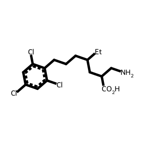 CCC(CCCc1c(Cl)cc(Cl)cc1Cl)CC(CN)C(=O)O